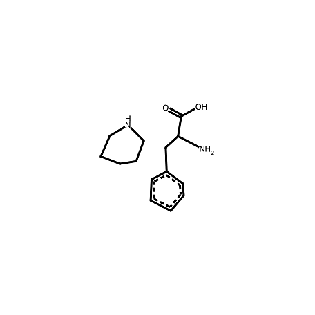 C1CCNCC1.NC(Cc1ccccc1)C(=O)O